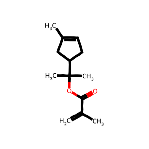 C=C(C)C(=O)OC(C)(C)C1CC=C(C)C1